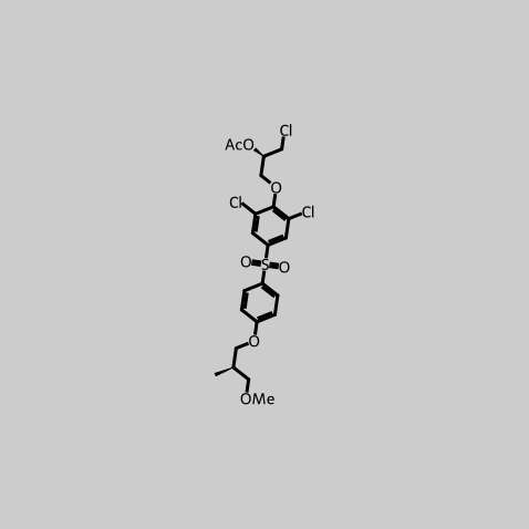 COC[C@@H](C)COc1ccc(S(=O)(=O)c2cc(Cl)c(OC[C@H](CCl)OC(C)=O)c(Cl)c2)cc1